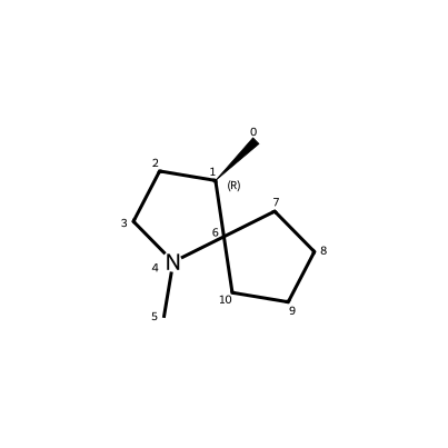 C[C@@H]1CCN(C)C12CCCC2